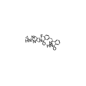 O=C(c1cc(Cc2n[nH]c(=O)c3ccccc23)ccc1F)N1Cc2cnc(NC3CC3)nc2C1